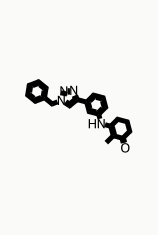 CC1=C(Nc2cccc(-c3cn(Cc4ccccc4)nn3)c2)CCCC1=O